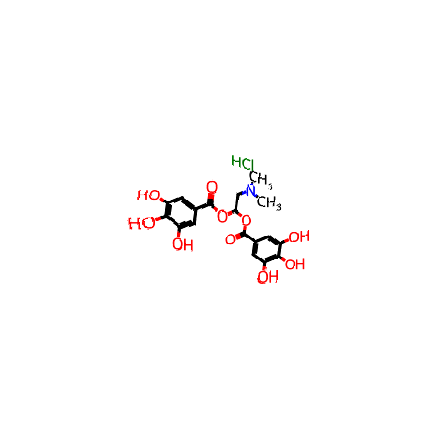 CN(C)CC(OC(=O)c1cc(O)c(O)c(O)c1)OC(=O)c1cc(O)c(O)c(O)c1.Cl